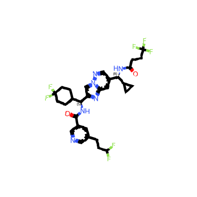 O=C(CCC(F)(F)F)N[C@@H](c1cnn2cc([C@@H](NC(=O)c3cncc(CCC(F)F)c3)C3CCC(F)(F)CC3)nc2c1)C1CC1